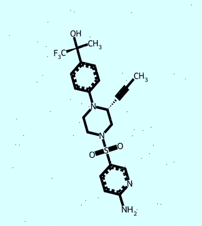 CC#C[C@@H]1CN(S(=O)(=O)c2ccc(N)nc2)CCN1c1ccc([C@@](C)(O)C(F)(F)F)cc1